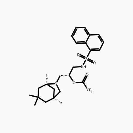 CC1(C)C[C@@H]2C[C@@](C)(CN2C[C@H](CNS(=O)(=O)c2cccc3ccccc23)OC(=O)C(F)(F)F)C1